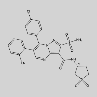 N#Cc1ccccc1-c1cnc2c(C(=O)N[C@@H]3CCS(=O)(=O)C3)c(S(N)(=O)=O)nn2c1-c1ccc(Cl)cc1